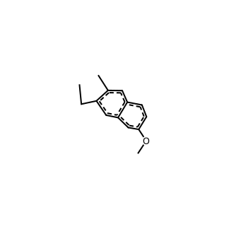 CCc1cc2cc(OC)ccc2cc1C